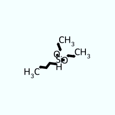 CCCCC[SiH](OCCC)OCCC